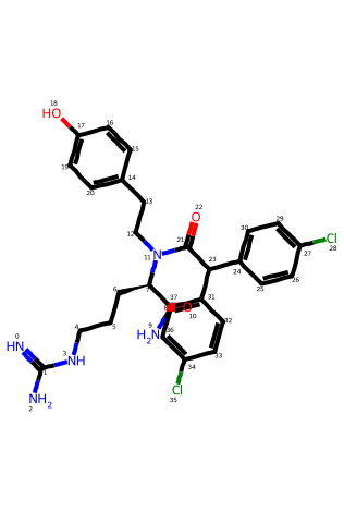 N=C(N)NCCC[C@H](C(N)=O)N(CCc1ccc(O)cc1)C(=O)C(c1ccc(Cl)cc1)c1ccc(Cl)cc1